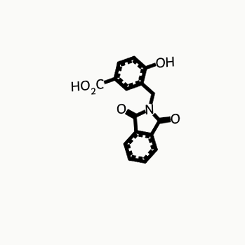 O=C(O)c1ccc(O)c(CN2C(=O)c3ccccc3C2=O)c1